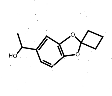 CC(O)c1ccc2c(c1)OC1(CCC1)O2